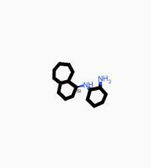 NC1CCCCC1N[C@H]1CCCC2CCCCCC21